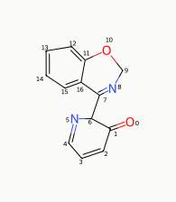 O=C1C=CC=NC1C1=NCOc2ccccc21